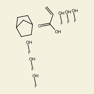 C1CC2CCC1C2.C=CC(=O)O.OF.OF.OF.OF.OF.OF